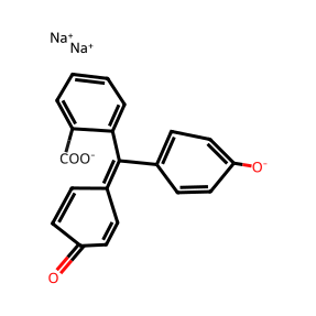 O=C1C=CC(=C(c2ccc([O-])cc2)c2ccccc2C(=O)[O-])C=C1.[Na+].[Na+]